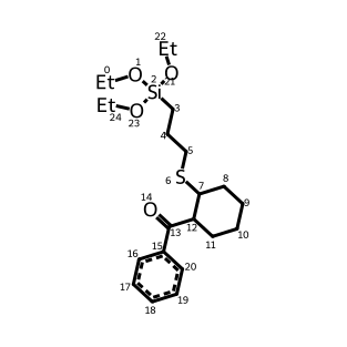 CCO[Si](CCCSC1CCCCC1C(=O)c1ccccc1)(OCC)OCC